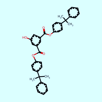 CC(C)(c1ccccc1)c1ccc(OC(=O)c2cc(O)cc(C(=O)Oc3ccc(C(C)(C)c4ccccc4)cc3)c2)cc1